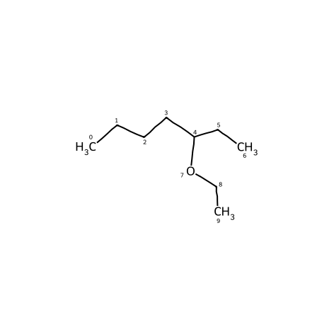 CCCCC(CC)OCC